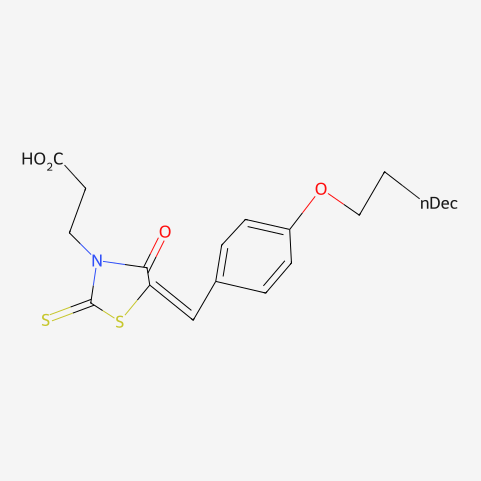 CCCCCCCCCCCCOc1ccc(/C=C2/SC(=S)N(CCC(=O)O)C2=O)cc1